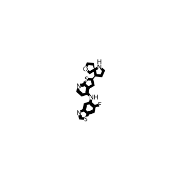 Fc1cc2scnc2cc1Nc1ccnc2c1CC([C@@H]1CCN[C@]13CCOC3)S2